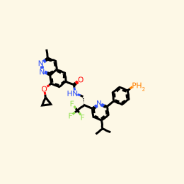 Cc1cc2cc(C(=O)NC[C@H](c3cc(C(C)C)cc(-c4ccc(P)cc4)n3)C(F)(F)F)cc(OC3CC3)c2nn1